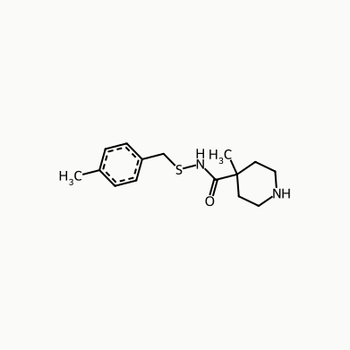 Cc1ccc(CSNC(=O)C2(C)CCNCC2)cc1